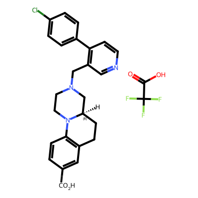 O=C(O)C(F)(F)F.O=C(O)c1ccc2c(c1)CC[C@@H]1CN(Cc3cnccc3-c3ccc(Cl)cc3)CCN21